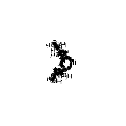 Cc1cc(CN2CCCNCCCN(Cc3cc(C)cc(NC(=O)CP(=O)(O)O)c3O)CCC2)c(O)c(NC(=O)CP(=O)(O)O)c1